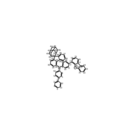 c1ccc(-c2ccc(N(c3ccc(-c4cccc5c4oc4ccccc45)cc3)c3cccc4c3-c3ccccc3C43C4CC5CC(C4)CC3C5)cc2)cc1